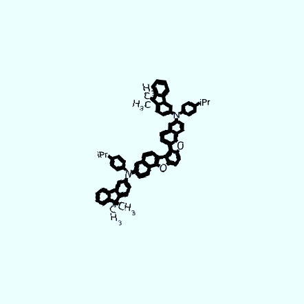 CC(C)c1ccc(N(c2ccc3c(c2)-c2ccccc2C3(C)C)c2ccc3c(ccc4c3oc3ccc5oc6c7ccc(N(c8ccc(C(C)C)cc8)c8ccc9c(c8)-c8ccccc8C9(C)C)cc7ccc6c5c34)c2)cc1